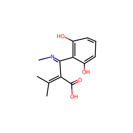 C/N=C(\C(C(=O)O)=C(C)C)c1c(O)cccc1O